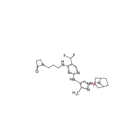 Cc1nn(C2CC3CCC(C2)N3C)cc1Nc1ncc(C(F)F)c(NCCCN2CCC2=O)n1